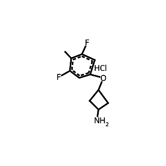 Cc1c(F)cc(OC2CC(N)C2)cc1F.Cl